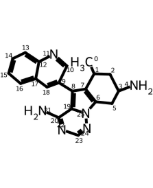 CC1CC(N)Cc2c1c(-c1cnc3ccccc3c1)c1c(N)ncnn21